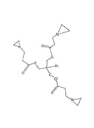 CCC(COC(=O)CCN1CC1)(COC(=O)CCN1CC1)COC(=O)CCN1CC1